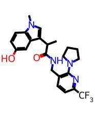 CC(C(=O)NCc1ccc(C(F)(F)F)nc1N1CCCC1)c1cn(C)c2ccc(O)cc12